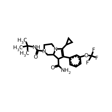 CC(C)(C)NC(=O)N1CCN2C(C3CC3)=C(c3cccc(OC(F)(F)F)c3)C(C(N)=O)C2C1